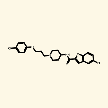 O=C(NC1CCN(CCCOc2ccc(Cl)cc2)CC1)c1cc2cc(Cl)ccc2o1